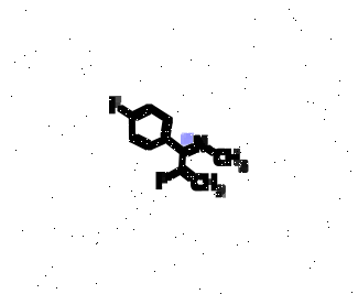 C=C(F)/C(=N\C)c1ccc(F)cc1